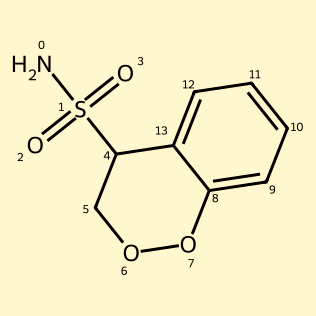 NS(=O)(=O)C1COOc2ccccc21